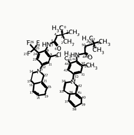 CC(C)(C)CC(=O)Nc1c(Cl)cc(N2CCC3C=CCC=C3C2)cc1C(F)(F)F.Cc1cc(N2CCC3C=CCC=C3C2)cc(C)c1NC(=O)CC(C)(C)C